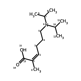 CC(=CCCCN(C(C)C)C(C)C)C(=O)O